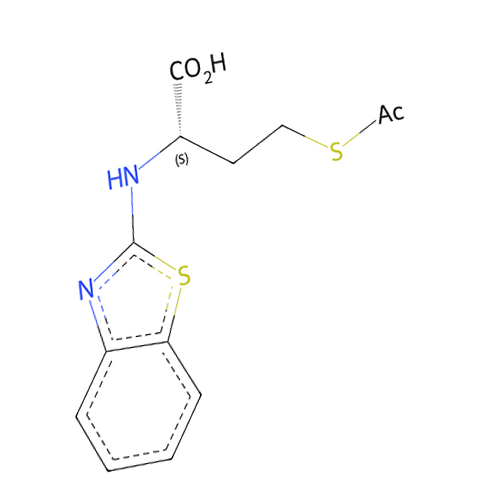 CC(=O)SCC[C@H](Nc1nc2ccccc2s1)C(=O)O